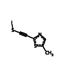 Cc1cnc(C#CSI)s1